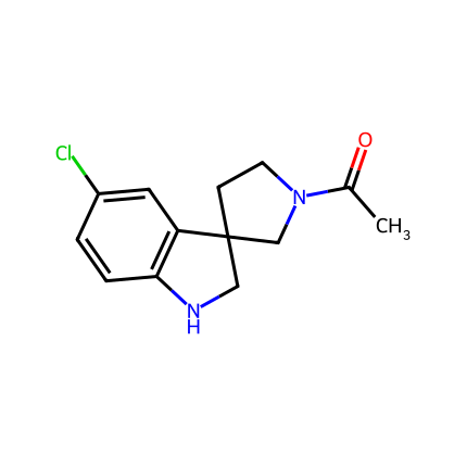 CC(=O)N1CCC2(CNc3ccc(Cl)cc32)C1